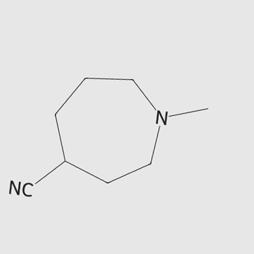 CN1CCCC(C#N)CC1